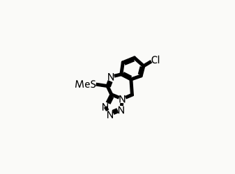 CSC1=Nc2ccc(Cl)cc2Cn2nnnc21